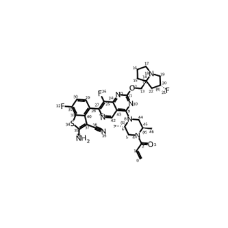 C=CC(=O)N1C[C@H](C)N(c2nc(OC[C@@]34CCCN3C[C@H](F)C4)nc3c(F)c(-c4ccc(F)c5sc(N)c(C#N)c45)ncc23)C[C@H]1C